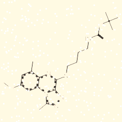 COc1cc(C)c2nc(NCCCCNC(=O)OC(C)(C)C)c3nnc(C)n3c2c1